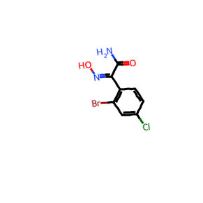 NC(=O)C(=NO)c1ccc(Cl)cc1Br